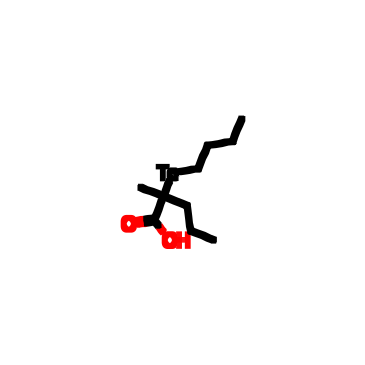 CCCC[Te]C(C)(CCC)C(=O)O